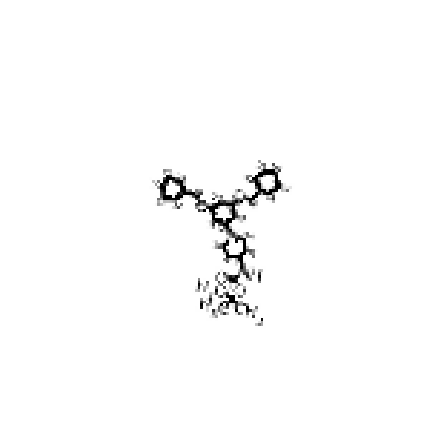 CC(C)(C)OC(=O)NC1CCN(c2cc(OCc3ccccc3)cc(OCc3ccccc3)c2)CC1